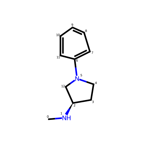 CN[C@@H]1CCN(c2ccccc2)C1